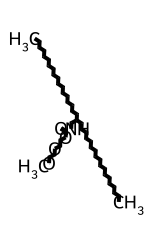 CCCCCCCCCCCCCCCCCCC(CCCCCCCCCCCCCCCCCC)CNC(=O)OCCOCCOC